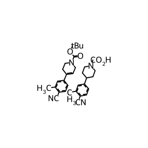 Cc1cc(C2=CCN(C(=O)OC(C)(C)C)CC2)ccc1C#N.Cc1cc(C2CCN(C(=O)O)CC2)ccc1C#N